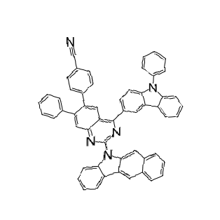 N#Cc1ccc(-c2cc3c(-c4ccc5c(c4)c4ccccc4n5-c4ccccc4)nc(-n4c5ccccc5c5cc6ccccc6cc54)nc3cc2-c2ccccc2)cc1